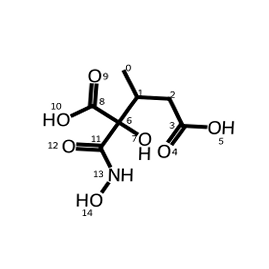 CC(CC(=O)O)C(O)(C(=O)O)C(=O)NO